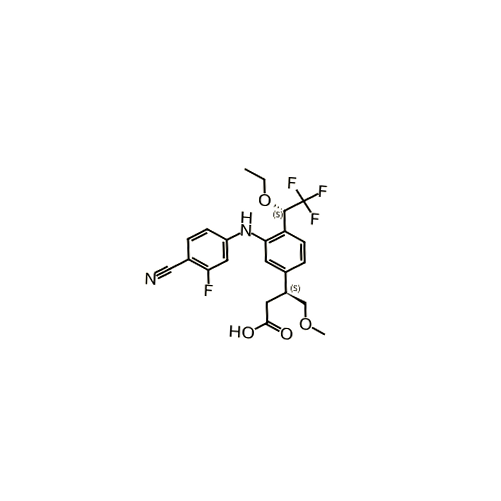 CCO[C@@H](c1ccc([C@@H](COC)CC(=O)O)cc1Nc1ccc(C#N)c(F)c1)C(F)(F)F